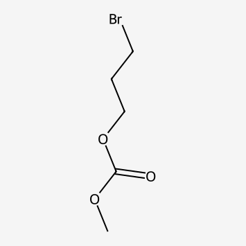 COC(=O)OCCCBr